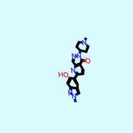 CN1CCC(n2ncc3nc(-c4cc5cn(C)nc5cc4O)ccc3c2=O)CC1